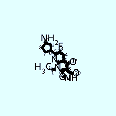 CCn1c2nc(C3CCC(N)C3)c(F)cc2c(=O)c2c(=O)[nH]oc21